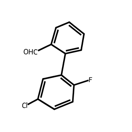 O=Cc1ccccc1-c1cc(Cl)ccc1F